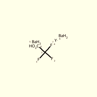 O=C(O)C(F)(F)F.[BaH2].[BaH2].[Y]